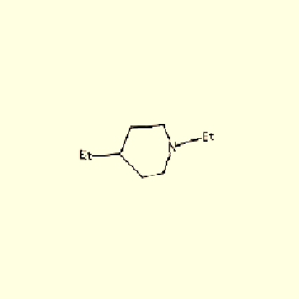 [CH2]CC1CCN(CC)CC1